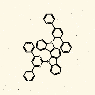 c1ccc(-c2ccc(-c3ccccc3)c(-n3c4ccccc4c4c3ccc3c5ccccc5n(-c5nc(-c6ccccc6)cc(-c6ccccc6)n5)c34)c2)cc1